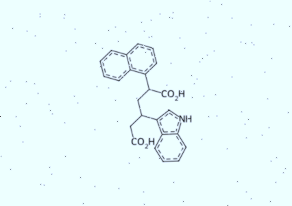 O=C(O)CC(CC(C(=O)O)c1cccc2ccccc12)c1c[nH]c2ccccc12